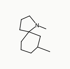 CC1CCCC2(CCCN2C)C1